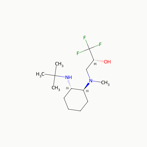 CN(C[C@@H](O)C(F)(F)F)[C@H]1CCCC[C@@H]1NC(C)(C)C